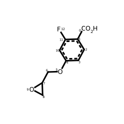 O=C(O)c1ccc(OCC2CO2)cc1F